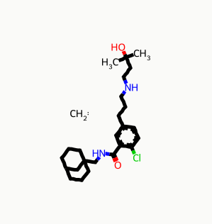 CC(C)(O)CCNCCCc1ccc(Cl)c(C(=O)NCC23CCCC(CCC2)C3)c1.[CH2]